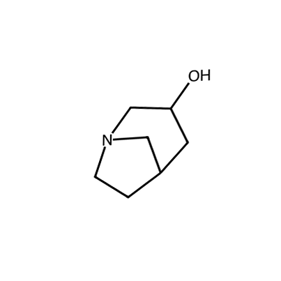 OC1CC2CCN(C1)C2